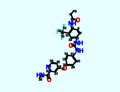 CCC(=O)Nc1ccc(NC(=O)Nc2ccc(Oc3ccnc(C(=O)NC)c3)cc2)cc1C(F)(F)F